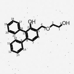 OCCOCc1ccc(-c2ccccc2)c(-c2ccccc2)c1O